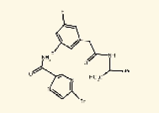 CCCC(NC(=O)Cc1cc(F)cc(F)c1)C(=O)O.NC(=O)c1cnc(Br)cn1